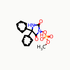 COP(=O)(O)ON1C(=O)NC(c2ccccc2)(c2ccccc2)C1=O